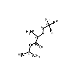 CC(C)OC(=O)C(N)CSC(F)(F)F